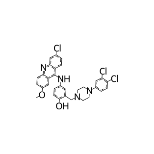 COc1ccc2nc3cc(Cl)ccc3c(Nc3ccc(O)c(CN4CCN(c5ccc(Cl)c(Cl)c5)CC4)c3)c2c1